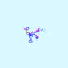 CNC(=O)c1ccccc1Sc1ccc2c(/C=C/c3ccccn3)nn(C(=O)N(CCNC(=O)[C@H](C)N)CCC(=O)N[C@@H](CCN)C(N)=O)c2c1